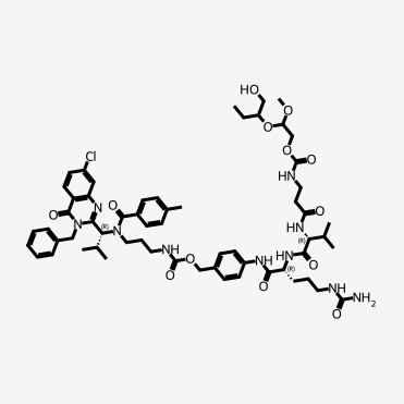 CCC(CO)OC(COC(=O)NCCC(=O)N[C@@H](C(=O)N[C@H](CCCNC(N)=O)C(=O)Nc1ccc(COC(=O)NCCCN(C(=O)c2ccc(C)cc2)[C@@H](c2nc3cc(Cl)ccc3c(=O)n2Cc2ccccc2)C(C)C)cc1)C(C)C)OC